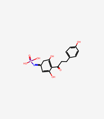 O=C(CCc1ccc(O)cc1)C1=C(O)CC(=NP(=O)(O)O)C=C1O